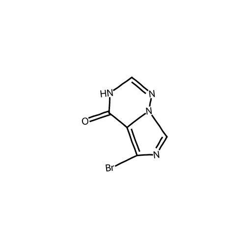 O=c1[nH]cnn2cnc(Br)c12